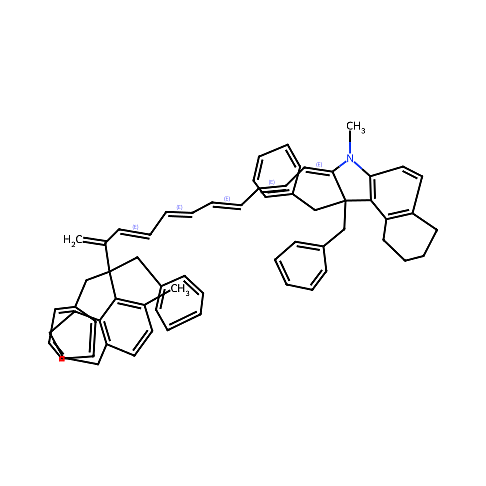 C=C(/C=C/C=C/C=C/C=C/C=C1/N(C)c2ccc3c(c2C1(Cc1ccccc1)Cc1ccccc1)CCCC3)C(Cc1ccccc1)(Cc1ccccc1)c1c(C)ccc2c1CCCC2